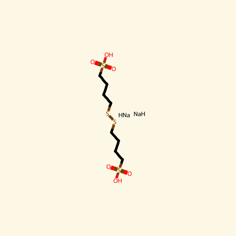 O=S(=O)(O)CCCCSSCCCCS(=O)(=O)O.[NaH].[NaH]